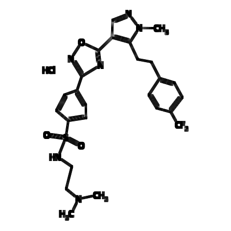 CN(C)CCNS(=O)(=O)c1ccc(-c2noc(-c3cnn(C)c3CCc3ccc(C(F)(F)F)cc3)n2)cc1.Cl